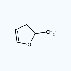 [CH2]C1CC=CO1